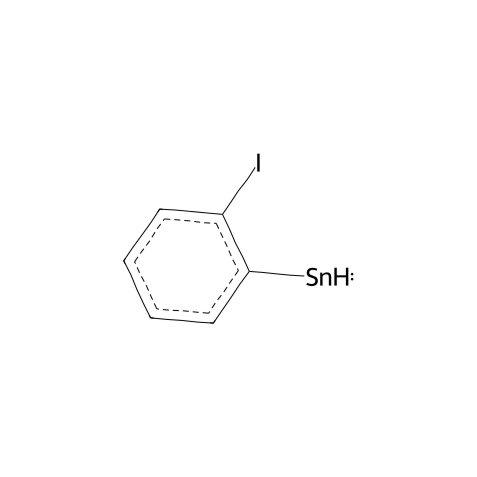 [SnH][c]1ccccc1I